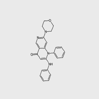 O=c1cc(Nc2ccccc2)n(-c2ccccc2)c2cc(N3CCOCC3)ncc12